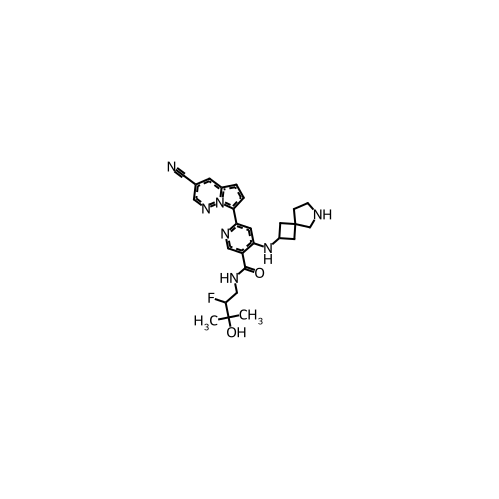 CC(C)(O)C(F)CNC(=O)c1cnc(-c2ccc3cc(C#N)cnn23)cc1NC1CC2(CCNC2)C1